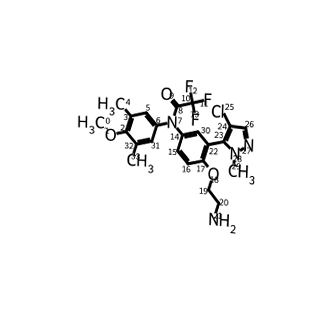 COc1c(C)cc(N(C(=O)C(F)(F)F)c2ccc(OCCN)c(-c3c(Cl)cnn3C)c2)cc1C